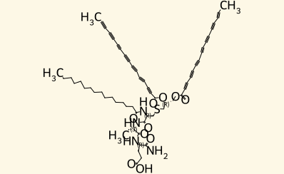 CC#CC#CC#CC#CC#CC#CC#CC(=O)OC[C@H](CSC[C@H](NC(=O)CCCCCCCCCCCCCCC)C(=O)N[C@@H](CC)C(=O)N[C@H](CCC(=O)O)C(N)=O)OC(=O)C#CC#CC#CC#CC#CC#CC#CC